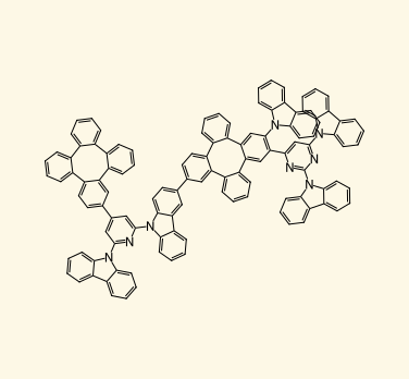 c1ccc2c(c1)-c1ccccc1-c1ccc(-c3cc(-n4c5ccccc5c5ccccc54)nc(-n4c5ccccc5c5cc(-c6ccc7c(c6)-c6ccccc6-c6cc(-c8cc(-n9c%10ccccc%10c%10ccccc%109)nc(-n9c%10ccccc%10c%10ccccc%109)n8)c(-n8c9ccccc9c9ccccc98)cc6-c6ccccc6-7)ccc54)c3)cc1-c1ccccc1-2